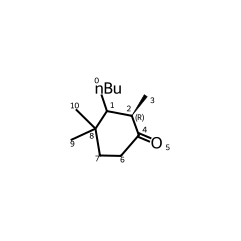 CCCCC1[C@@H](C)C(=O)CCC1(C)C